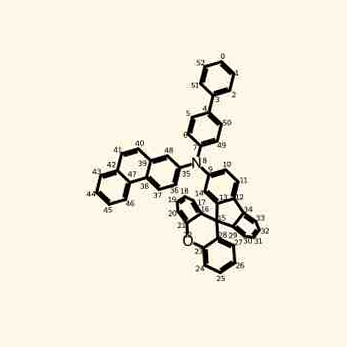 c1ccc(-c2ccc(N(c3ccc4c(c3)C3(c5ccccc5Oc5ccccc53)c3ccccc3-4)c3ccc4c(ccc5ccccc54)c3)cc2)cc1